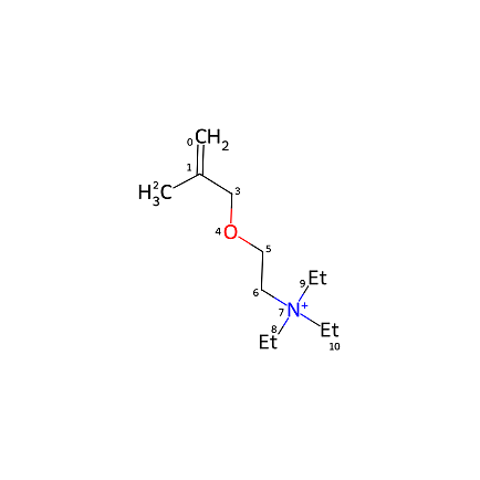 C=C(C)COCC[N+](CC)(CC)CC